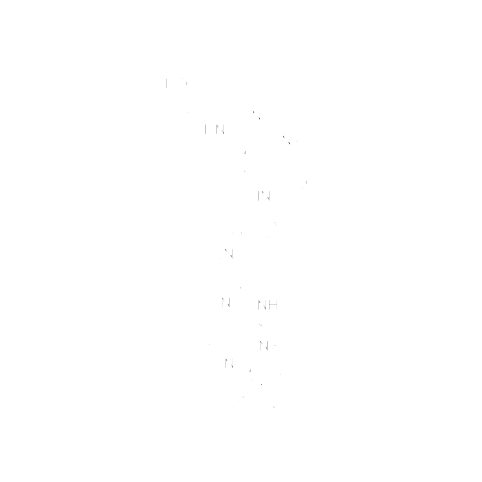 C[C@@H](NC(=O)c1ncnc(NCCO)c1Cl)c1cc(-c2nc3cnc(C(C)(C)C)nc3[nH]2)no1